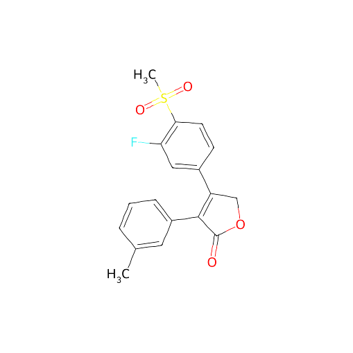 Cc1cccc(C2=C(c3ccc(S(C)(=O)=O)c(F)c3)COC2=O)c1